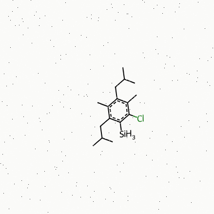 Cc1c(Cl)c([SiH3])c(CC(C)C)c(C)c1CC(C)C